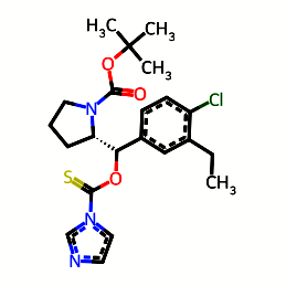 CCc1cc(C(OC(=S)n2ccnc2)[C@@H]2CCCN2C(=O)OC(C)(C)C)ccc1Cl